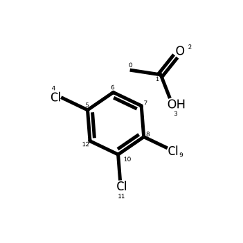 CC(=O)O.Clc1ccc(Cl)c(Cl)c1